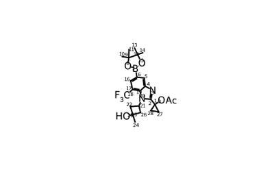 CC(=O)OC1(c2nc3cc(B4OC(C)(C)C(C)(C)O4)cc(C(F)(F)F)c3n2C2CC(C)(O)C2)CC1